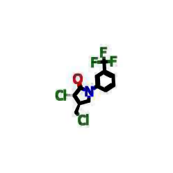 O=C1[C@@H](Cl)[C@H](CCl)CN1c1cccc(C(F)(F)F)c1